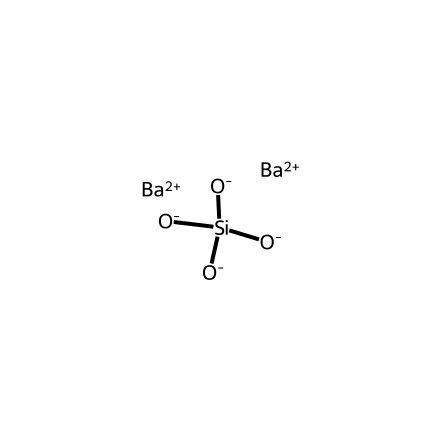 [Ba+2].[Ba+2].[O-][Si]([O-])([O-])[O-]